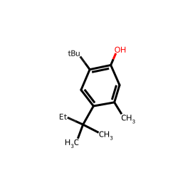 CCC(C)(C)c1cc(C(C)(C)C)c(O)cc1C